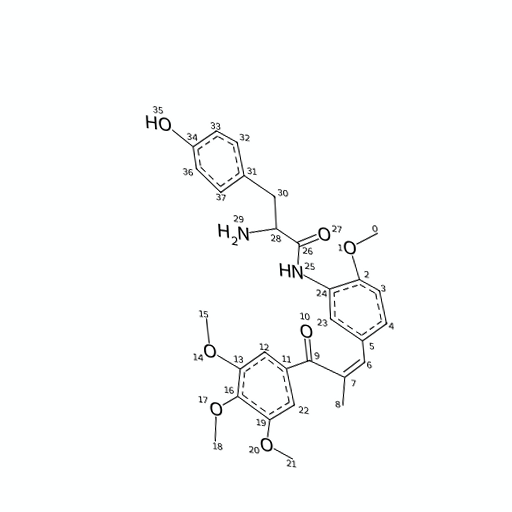 COc1ccc(C=C(C)C(=O)c2cc(OC)c(OC)c(OC)c2)cc1NC(=O)C(N)Cc1ccc(O)cc1